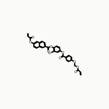 C=CC(=O)OCOc1ccc(C(=O)Oc2ccc(OC(=O)c3ccc4cc(OC(=O)C=C)ccc4c3)c(CC)c2)cc1